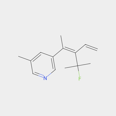 C=C/C(=C(\C)c1cncc(C)c1)C(C)(C)F